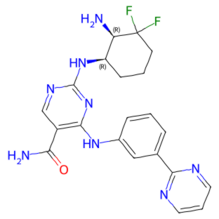 NC(=O)c1cnc(N[C@@H]2CCCC(F)(F)[C@@H]2N)nc1Nc1cccc(-c2ncccn2)c1